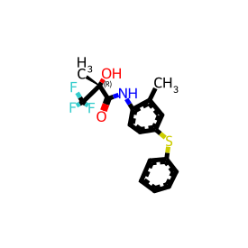 Cc1cc(Sc2ccccc2)ccc1NC(=O)[C@@](C)(O)C(F)(F)F